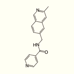 Cc1cc2cc(CNC(=O)c3ccncc3)ccc2cn1